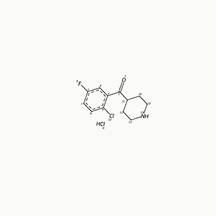 Cl.O=C(c1cc(F)ccc1Cl)C1CCNCC1